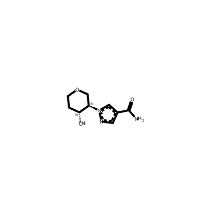 N#C[C@@H]1CCOC[C@H]1n1cc(C(N)=O)cn1